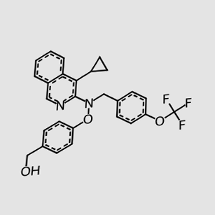 OCc1ccc(ON(Cc2ccc(OC(F)(F)F)cc2)c2ncc3ccccc3c2C2CC2)cc1